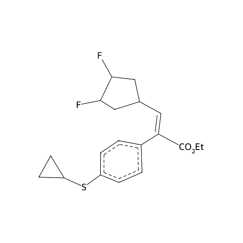 CCOC(=O)/C(=C/C1CC(F)C(F)C1)c1ccc(SC2CC2)cc1